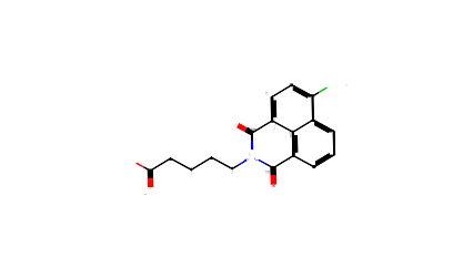 O=C(O)CCCCN1C(=O)c2cccc3c(Cl)ccc(c23)C1=O